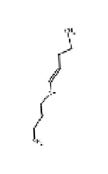 CCC/C=C/NCCCN